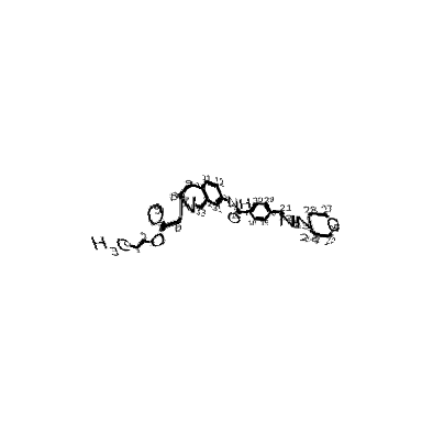 CCCOC(=O)CN1CCc2ccc(NC(=O)c3ccc(/C=N/N4CCOCC4)cc3)cc2C1